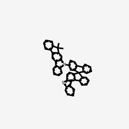 CC1(C)c2ccccc2-c2cc3c4ccccc4n(-c4ccc5c(c4)C4(c6ccccc6-5)c5ccccc5-c5c4ccc4sc6ccccc6c54)c3cc21